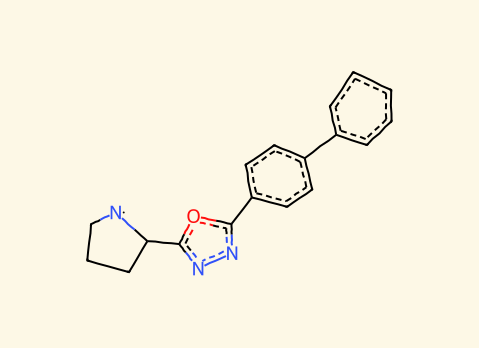 c1ccc(-c2ccc(-c3nnc(C4CCC[N]4)o3)cc2)cc1